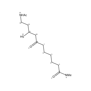 CNC(=O)CCCCCC(=O)CC(S)CCNC(C)=O